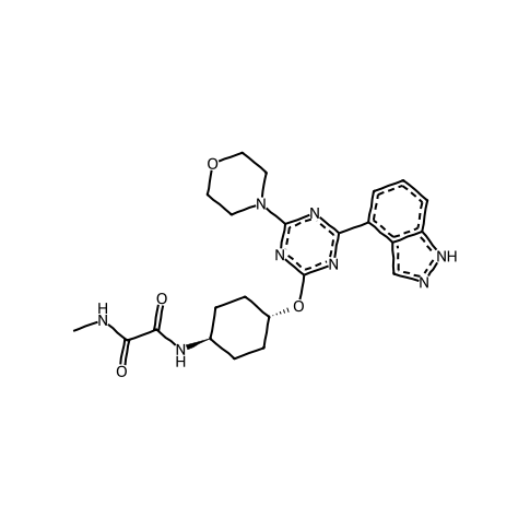 CNC(=O)C(=O)N[C@H]1CC[C@H](Oc2nc(-c3cccc4[nH]ncc34)nc(N3CCOCC3)n2)CC1